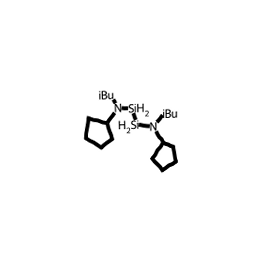 CCC(C)N([SiH2][SiH2]N(C(C)CC)C1CCCC1)C1CCCC1